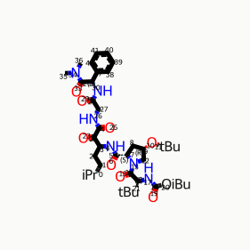 CC(C)CCC(NC(=O)[C@@H]1C[C@@H](OC(C)(C)C)CN1C(=O)[C@@H](NC(=O)OCC(C)C)C(C)(C)C)C(=O)C(=O)NCC(=O)N[C@H](C(=O)N(C)C)c1ccccc1